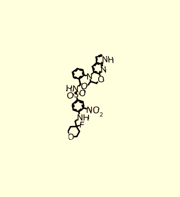 CC1COc2nc3[nH]ccc3cc2N1c1ccccc1C(=O)NS(=O)(=O)c1ccc(NCC2(F)CCOCC2)c([N+](=O)[O-])c1